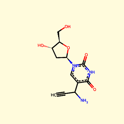 C#CC(N)c1cn([C@H]2C[C@H](O)[C@@H](CO)O2)c(=O)[nH]c1=O